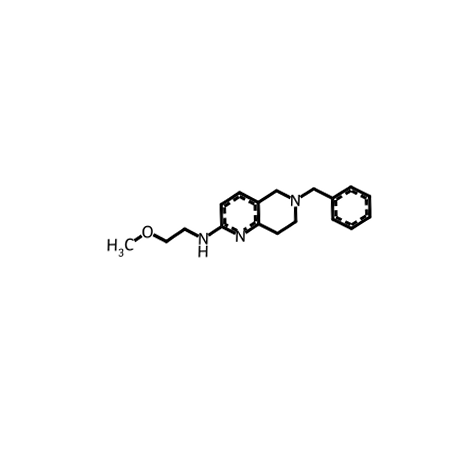 COCCNc1ccc2c(n1)CCN(Cc1ccccc1)C2